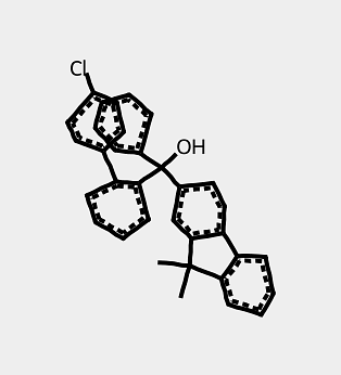 CC1(C)c2ccccc2-c2ccc(C(O)(c3ccccc3)c3ccccc3-c3ccc(Cl)cc3)cc21